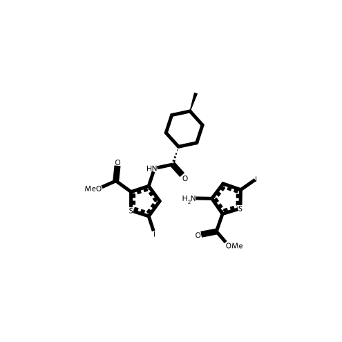 COC(=O)c1sc(I)cc1N.COC(=O)c1sc(I)cc1NC(=O)[C@H]1CC[C@H](C)CC1